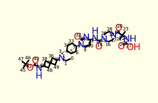 CCN(C[C@H]1CC[C@H](n2ccc(NC(=O)N3CCN(C(=O)C(C)(C)NC(=O)O)CC3)nc2=O)CC1)C1CC2(CC(NC(=O)OC(C)(C)C)C2)C1